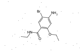 CCNC(=O)c1cc(Br)c(N)cc1OCC